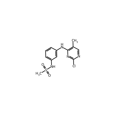 Cc1cnc(Cl)nc1Nc1cccc(NS(C)(=O)=O)c1